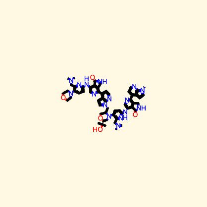 CN(C)Cc1nc(Nc2cnc(-c3ccnc4c3ccn4CC3CO[C@H](C(C)(C)O)CN3c3ccc(Nc4cnc(-c5ccnc6c5ccn6C)c5c4C(=O)NC5)nc3CN(C)C)c3c2C(=O)NC3)ccc1N1CCOCC1